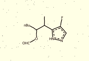 CCCCC(OC=O)C(C)c1[nH]ncc1F